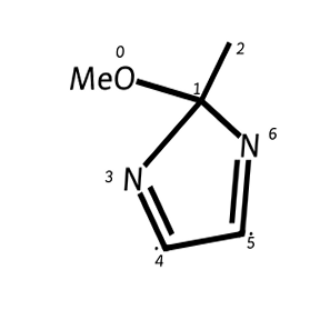 COC1(C)N=[C][C]=N1